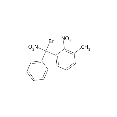 Cc1cccc(C(Br)(c2ccccc2)[N+](=O)[O-])c1[N+](=O)[O-]